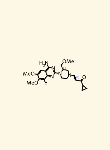 COC[C@H]1CN(/C=C/C(=O)C2CC2)CCN1c1nc(N)c2cc(OC)c(OC)c(F)c2n1